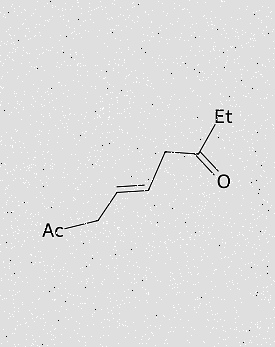 CCC(=O)CC=CCC(C)=O